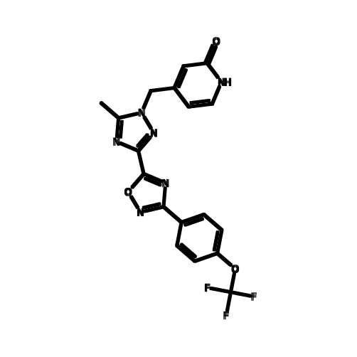 Cc1nc(-c2nc(-c3ccc(OC(F)(F)F)cc3)no2)nn1Cc1cc[nH]c(=O)c1